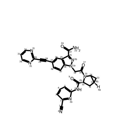 N#Cc1cccc(NC(=O)[C@@H]2C[C@H]3CC3N2C(=O)Cn2nc(C(N)=O)c3cc(C#Cc4ncccn4)ccc32)n1